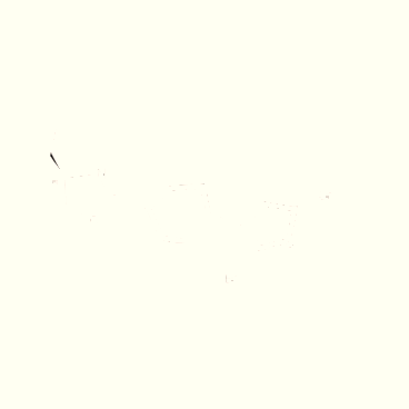 CC[C@@H]1COC(c2ccc(-c3cc(Br)sc3Br)cc2)=N1